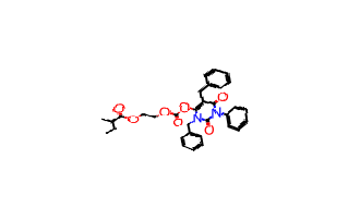 CCC(C)C(=O)OCCOC(=O)Oc1c(Cc2ccccc2)c(=O)n(-c2ccccc2)c(=O)n1Cc1ccccc1